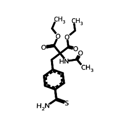 CCOC(=O)C(Cc1ccc(C(N)=S)cc1)(NC(C)=O)C(=O)OCC